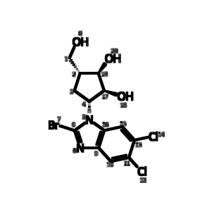 OC[C@H]1C[C@@H](n2c(Br)nc3cc(Cl)c(Cl)cc32)[C@H](O)[C@@H]1O